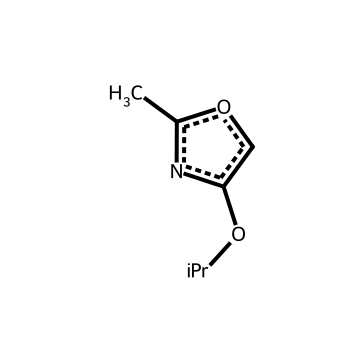 Cc1nc(OC(C)C)co1